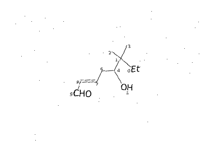 CCC(C)(C)C(O)CC=CC=O